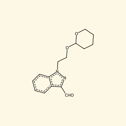 O=Cc1nn(CCOC2CCCCO2)c2ccccc12